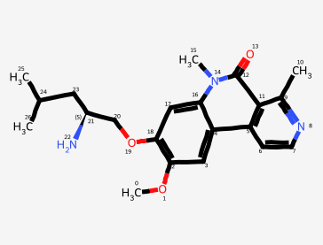 COc1cc2c3ccnc(C)c3c(=O)n(C)c2cc1OC[C@@H](N)CC(C)C